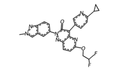 Cn1cc2cc(-n3nc4ccc(OCC(F)F)nc4c(-c4ccc(C5CC5)nc4)c3=O)ccc2n1